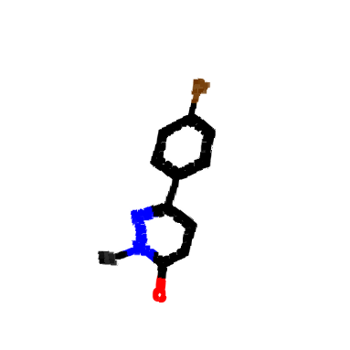 CCn1nc(-c2ccc(Br)cc2)ccc1=O